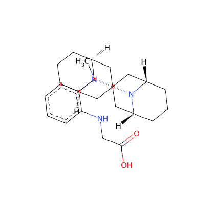 CN(c1ccccc1NCC(=O)O)[C@H]1C[C@H]2CCC[C@@H](C1)N2[C@H]1C[C@@H]2CCC[C@@H](C2)C1